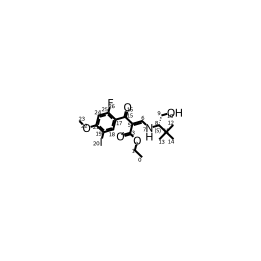 CCOC(=O)C(=CN[C@H](CO)C(C)(C)C)C(=O)c1cc(I)c(OC)cc1F